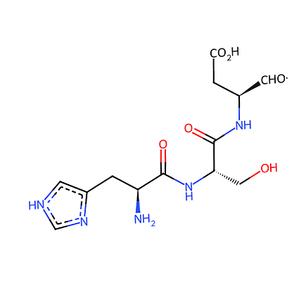 N[C@@H](Cc1c[nH]cn1)C(=O)N[C@@H](CO)C(=O)N[C@H]([C]=O)CC(=O)O